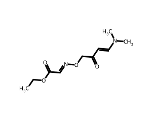 CCOC(=O)C=NOCC(=O)C=CN(C)C